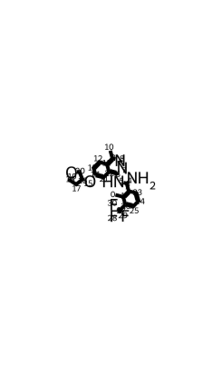 Cc1c([C@@H](N)Nc2nnc(C)c3ccc(O[C@H]4CCOC4)cc23)cccc1C(F)(F)F